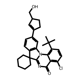 CC(C)(C)c1ccc(Cl)c2c(=O)nc3n(c12)-c1cc(C2=CC(CO)CC2)ccc1C31CCCCC1